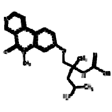 CC(C)CC(C)(COc1ccc2c3ccncc3c(=O)n(C)c2c1)NC(=O)O